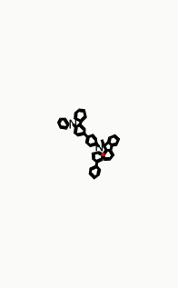 CC1(N(c2ccc(-c3ccccc3)cc2)c2ccc(-c3ccc4c(c3)c3ccccc3n4-c3ccccc3)cc2)c2ccccc2-c2ccccc21